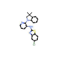 CC1(C)CN(c2ncccc2Nc2nc3cc(Cl)ccc3s2)c2ccccc21